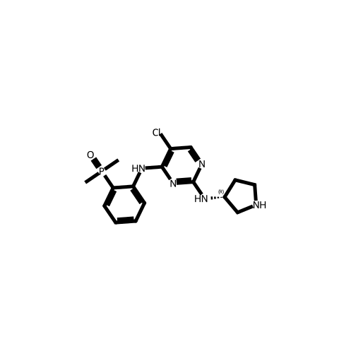 CP(C)(=O)c1ccccc1Nc1nc(N[C@@H]2CCNC2)ncc1Cl